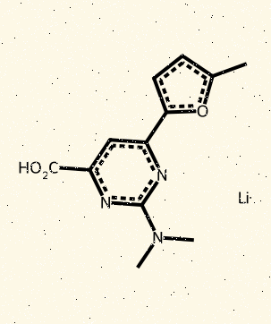 Cc1ccc(-c2cc(C(=O)O)nc(N(C)C)n2)o1.[Li]